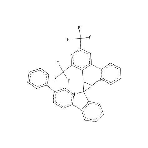 FC(F)(F)c1cc2c(c(C(F)(F)F)c1)C1C([n+]3ccccc3-2)C12c1ccccc1-c1ccc(-c3ccccc3)c[n+]12